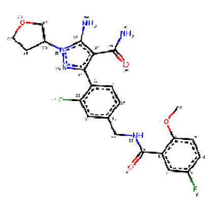 COc1ccc(F)cc1C(=O)NCc1ccc(-c2nn(C3CCOC3)c(N)c2C(N)=O)c(F)c1